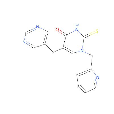 O=c1[nH]c(=S)n(Cc2ccccn2)cc1Cc1cncnc1